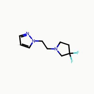 FC1(F)CCN(CCn2c[c]cn2)C1